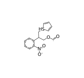 O=[C]OCC(C[SH]1C=CC=C1)c1ccccc1[N+](=O)[O-]